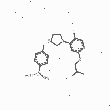 CC(=O)N[C@@H](C)c1ccc(O[C@@H]2CCN(c3cc(OCC(F)F)ncc3F)C2)cc1